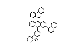 c1ccc2c(-c3ccc4c(-c5cc6ccccc6c6ccccc56)c5ccccc5c(-c5ccc6oc7ccccc7c6c5)c4c3)cccc2c1